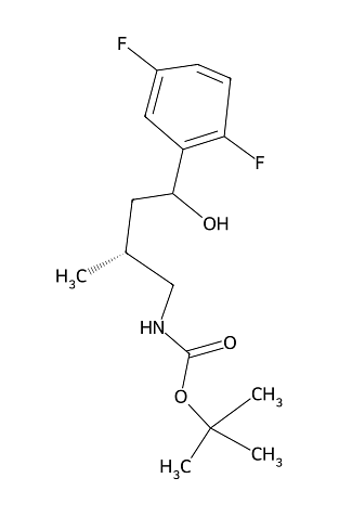 C[C@@H](CNC(=O)OC(C)(C)C)CC(O)c1cc(F)ccc1F